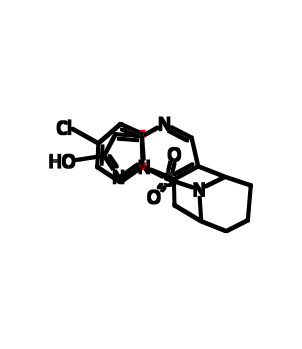 O=S(=O)(c1ccc(Cl)cc1)N1C2CCCC1c1cnc3cc(O)nn3c1C2